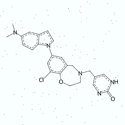 CN(C)c1ccc2c(ccn2-c2cc(Cl)c3c(c2)CN(Cc2cnc(=O)[nH]c2)CCO3)c1